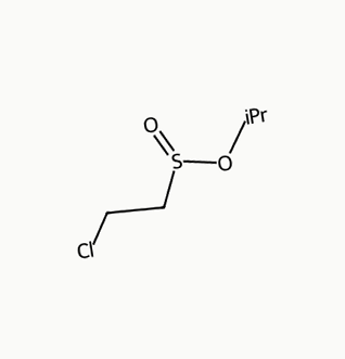 CC(C)OS(=O)CCCl